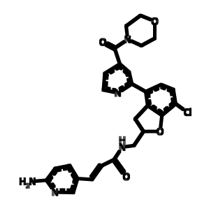 Nc1ccc(/C=C/C(=O)NCC2Cc3c(-c4cc(C(=O)N5CCOCC5)ccn4)ccc(Cl)c3O2)cn1